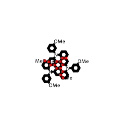 COc1cccc(N(c2cccc(OC)c2)c2ccccc2-c2cc(-c3ccccc3N(c3cccc(OC)c3)c3cccc(OC)c3)cc(-c3ccccc3N(c3cccc(OC)c3)c3cccc(OC)c3)c2)c1